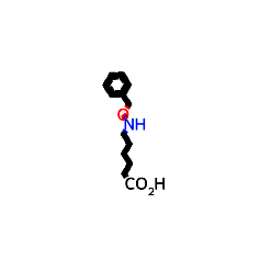 O=C(O)CCCCCNOCc1ccccc1